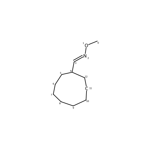 CON=CC1CCCCCCCC1